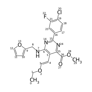 CCOC=Cc1c(NCc2ccco2)nc(-c2ccc(Cl)c(F)c2)nc1C(=O)OC